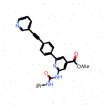 COC(=O)c1cc(NC(=O)NC(C)C)nc(-c2ccc(C#Cc3cccnc3)cc2)c1